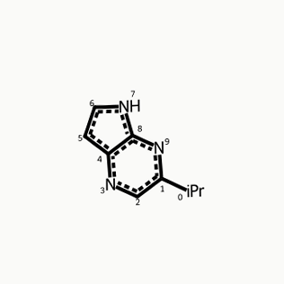 CC(C)c1cnc2cc[nH]c2n1